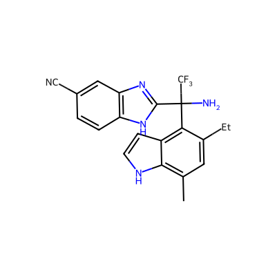 CCc1cc(C)c2[nH]ccc2c1C(N)(c1nc2cc(C#N)ccc2[nH]1)C(F)(F)F